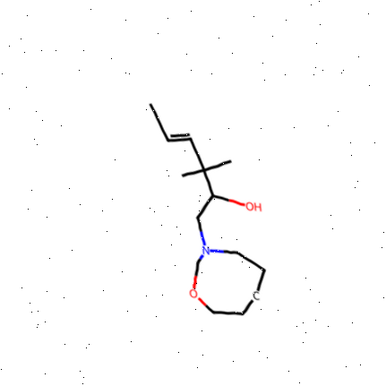 CC=CC(C)(C)C(O)CN1CCCCCOC1